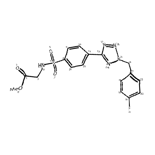 COC(=O)CNS(=O)(=O)c1ccc(-c2nnn(Cc3ccc(F)cc3)n2)cc1